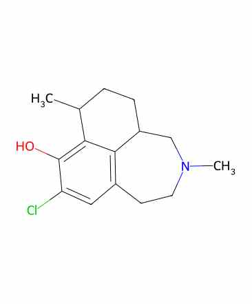 CC1CCC2CN(C)CCc3cc(Cl)c(O)c1c32